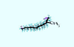 CC(F)(C(F)(F)C(F)(F)I)C(F)(F)C(F)(F)C(F)(F)C(F)(F)C(F)(F)C(F)(F)C(F)(F)C(F)(F)C(F)(F)I